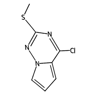 CSc1nc(Cl)c2cccn2n1